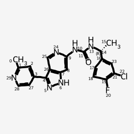 Cc1cc(-c2n[nH]c3cc(NC(=O)N[C@H](C)c4ccc(F)c(Cl)c4)ncc23)ccn1